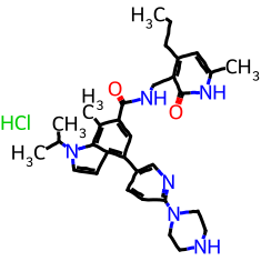 CCCc1cc(C)[nH]c(=O)c1CNC(=O)c1cc(-c2ccc(N3CCNCC3)nc2)c2ccn(C(C)C)c2c1C.Cl